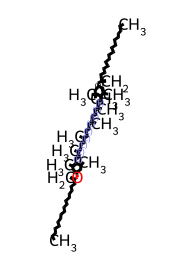 C=C(CCCCCCCCCCCCCCCC)C[C@H]1C=C(C)C(/C=C/C(C)=C/C=C/C(C)=C/C=C/C=C(C)/C=C/C=C(C)/C=C/C2=C(C)CC(OC(=C)CCCCCCCCCCCCCCCCC)CC2C)C(C)(C)C1